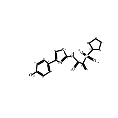 C=C(C(=O)Nc1nc(-c2ccc(Cl)cc2)cs1)S(=O)(=O)C1CCCC1